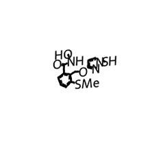 CSc1cccc(C(=O)NO)c1COc1ccn(S)n1